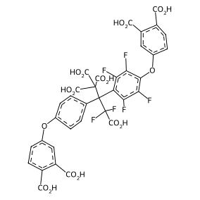 O=C(O)c1ccc(Oc2ccc(C(c3c(F)c(F)c(Oc4ccc(C(=O)O)c(C(=O)O)c4)c(F)c3F)(C(F)(F)C(=O)O)C(C(=O)O)(C(=O)O)C(=O)O)cc2)cc1C(=O)O